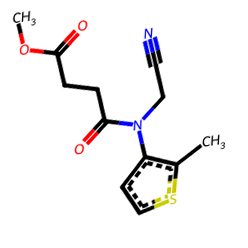 COC(=O)CCC(=O)N(CC#N)c1ccsc1C